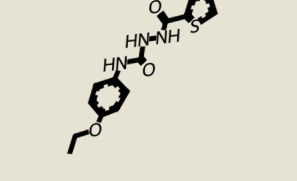 CCOc1ccc(NC(=O)NNC(=O)c2cccs2)cc1